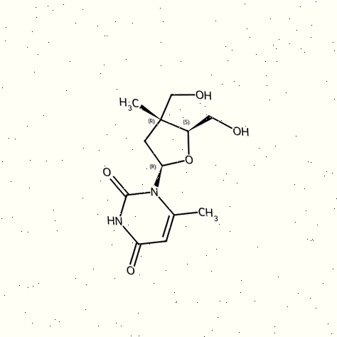 Cc1cc(=O)[nH]c(=O)n1[C@H]1C[C@](C)(CO)[C@@H](CO)O1